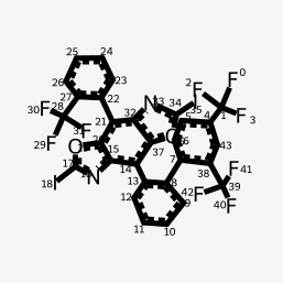 FC(F)(F)c1ccc(-c2ccccc2-c2c3nc(I)oc3c(-c3ccccc3C(F)(F)F)c3nc(I)oc23)c(C(F)(F)F)c1